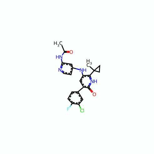 CC(=O)Nc1cc(Nc2cc(-c3ccc(F)c(Cl)c3)c(=O)[nH]c2C2(C)CC2)ccn1